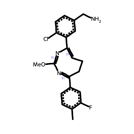 COC1=N/C(c2cc(CN)ccc2Cl)=C/CC/C(c2ccc(C)c(F)c2)=N\1